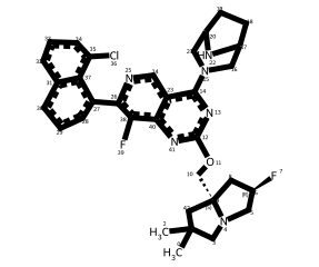 CC1(C)CN2C[C@H](F)C[C@]2(COc2nc(N3CC4CCC(C3)N4)c3cnc(-c4cccc5cccc(Cl)c45)c(F)c3n2)C1